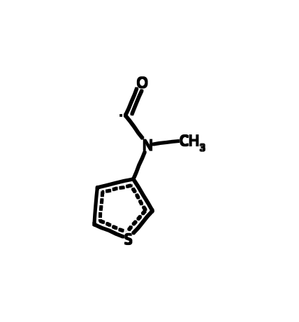 CN([C]=O)c1ccsc1